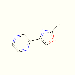 CCCc1nc(-c2cnccn2)co1